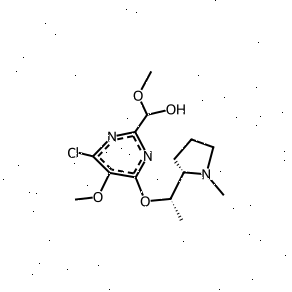 COc1c(Cl)nc(C(O)OC)nc1O[C@@H](C)[C@@H]1CCCN1C